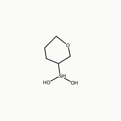 O[SiH](O)C1CCCOC1